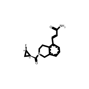 NC(=O)C=Cc1cccc2c1CCN(C(=O)[C@H]1C[C@H]1F)C2